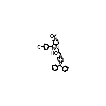 CC(=O)N1CCc2c(c(-c3ccc(Cl)cc3)nn2CC(O)CN2CCN(C(c3ccccc3)c3ccccc3)CC2)C1